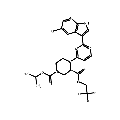 CC(C)OC(=O)N1CCN(c2ccnc(-c3c[nH]c4ncc(Cl)cc34)n2)[C@@H](C(=O)NCC(F)(F)F)C1